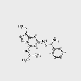 CCn1ncc2c(NC(C)C)nc(NCC(N)c3ccccc3)nc21